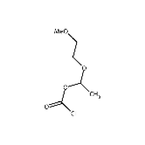 COCCOC(C)OC(=O)Cl